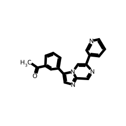 CC(=O)c1cccc(-c2cnc3cnc(-c4cccnc4)cn23)c1